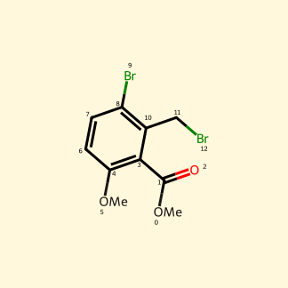 COC(=O)c1c(OC)ccc(Br)c1CBr